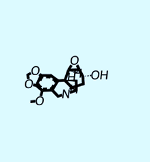 COc1c2c(cc3c1OCO3)[C@@]13CCN(C2)[C@@H]1C[C@@H](O)[C@@H]1O[C@@H]13